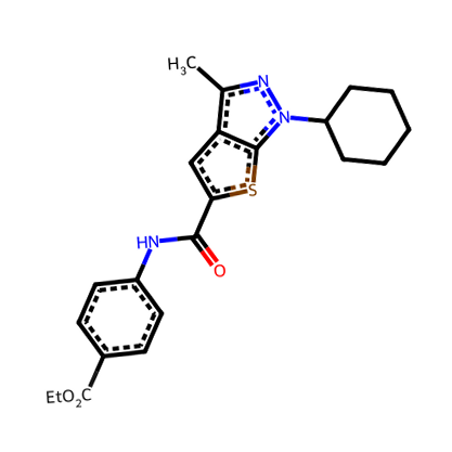 CCOC(=O)c1ccc(NC(=O)c2cc3c(C)nn(C4CCCCC4)c3s2)cc1